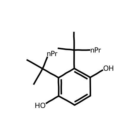 CCCC(C)(C)c1c(O)ccc(O)c1C(C)(C)CCC